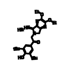 Br.CCOc1nc2c(nc1OCC)C(=N)N(CC(=O)c1cc(C(C)(C)C)c(O)c(C(C)(C)C)c1)C2